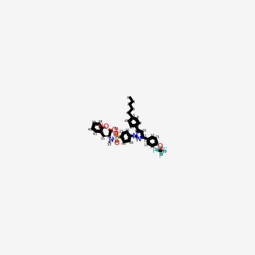 CCCCCc1ccc(-c2cc(-c3ccc(OC(F)(F)F)cc3)nn2-c2ccc(S(=O)(=O)N(C)[C@@H](Cc3ccccc3)C(=O)O)cc2)cc1